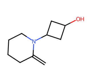 C=C1CCCCN1C1CC(O)C1